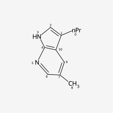 CCCc1c[nH]c2ncc(C)cc12